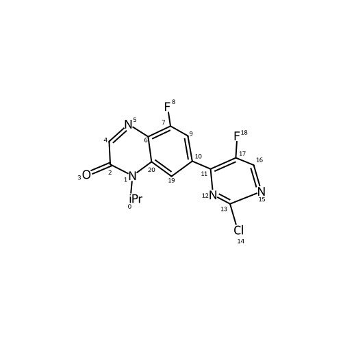 CC(C)n1c(=O)cnc2c(F)cc(-c3nc(Cl)ncc3F)cc21